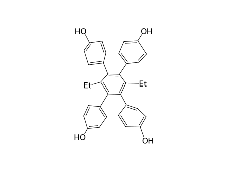 CCc1c(-c2ccc(O)cc2)c(-c2ccc(O)cc2)c(CC)c(-c2ccc(O)cc2)c1-c1ccc(O)cc1